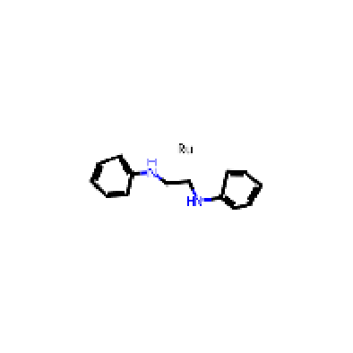 [Ru].c1ccc(NCCNc2ccccc2)cc1